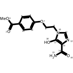 COC(=O)c1ccc(OCCn2cnc(C(N)=O)c2O)cc1